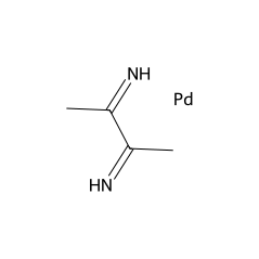 CC(=N)C(C)=N.[Pd]